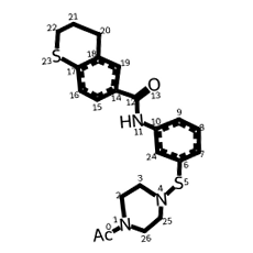 CC(=O)N1CCN(Sc2cccc(NC(=O)c3ccc4c(c3)CCCS4)c2)CC1